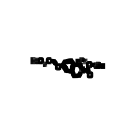 CCCC1c2ccc(OCC(=O)OCC)cc2CCN1C(=O)OC(C)(C)C